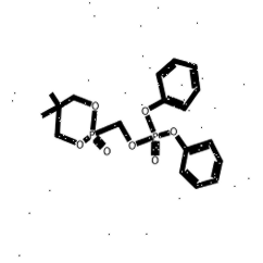 CC1(C)COP(=O)(COP(=O)(Oc2ccccc2)Oc2ccccc2)OC1